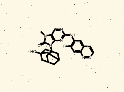 Cn1c(=O)n(C23CC4CC(CC(O)(C4)C2)C3)c2nc(Nc3cc4ccnnc4cc3F)ncc21